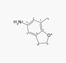 Cc1cc(N)cc2c1OCC2